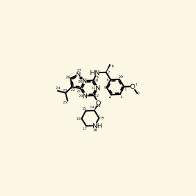 COc1cccc([C@H](C)Nc2nc(O[C@@H]3CCCNC3)nc3c(C(C)C)cnn23)c1